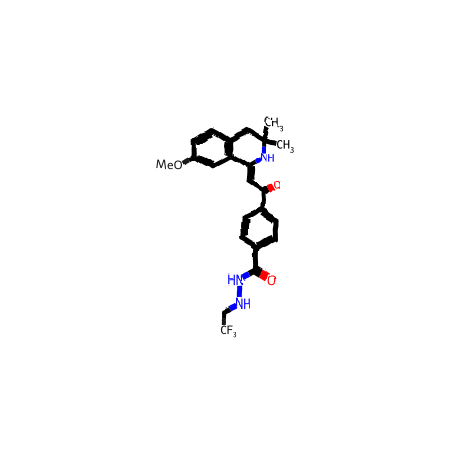 COc1ccc2c(c1)/C(=C/C(=O)c1ccc(C(=O)NNCC(F)(F)F)cc1)NC(C)(C)C2